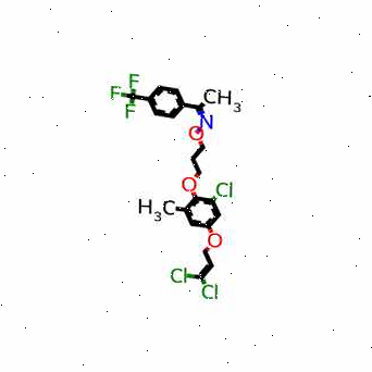 CC(=NOCCCOc1c(C)cc(OCC=C(Cl)Cl)cc1Cl)c1ccc(C(F)(F)F)cc1